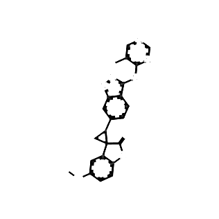 COc1ccc2c(c1)C1(CC1c1ccc3c(Nc4ncncc4C)n[nH]c3c1)C(=O)N2